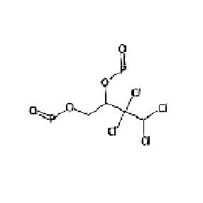 O=POCC(OP=O)C(Cl)(Cl)C(Cl)Cl